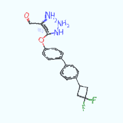 NN/C(Oc1ccc(-c2ccc(C3CC(F)(F)C3)cc2)cc1)=C(\N)C=O